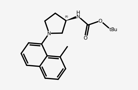 Cc1cccc2cccc(N3CC[C@@H](NC(=O)OC(C)(C)C)C3)c12